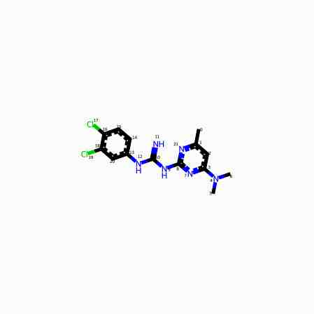 Cc1cc(N(C)C)nc(NC(=N)Nc2ccc(Cl)c(Cl)c2)n1